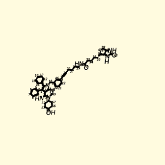 N=c1c2c(-c3ccccc3)c(-c3ccccc3)n(Cc3cccc(C#CCCCCNC(=O)CCCC[C@@H]4SCC5NC(=O)NC54)c3)c2ncn1C1CCC(O)CC1